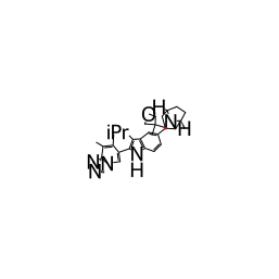 Cc1c(-c2[nH]c3ccc(C4C[C@H]5CC[C@@H](C4)N5CC4(C)COC4)cc3c2C(C)C)cn2cnnc2c1C